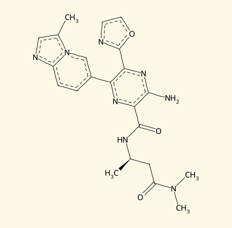 Cc1cnc2ccc(-c3nc(C(=O)N[C@H](C)CC(=O)N(C)C)c(N)nc3-c3ncco3)cn12